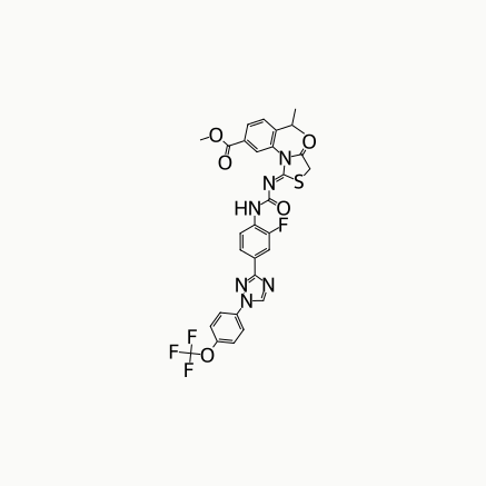 COC(=O)c1ccc(C(C)C)c(N2C(=O)CS/C2=N\C(=O)Nc2ccc(-c3ncn(-c4ccc(OC(F)(F)F)cc4)n3)cc2F)c1